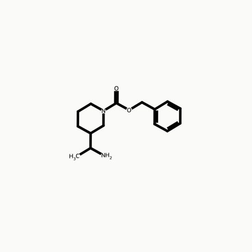 CC(N)C1CCCN(C(=O)OCc2ccccc2)C1